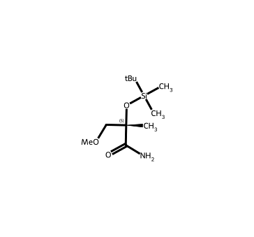 COC[C@](C)(O[Si](C)(C)C(C)(C)C)C(N)=O